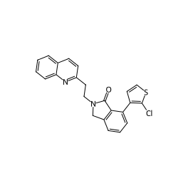 O=C1c2c(cccc2-c2ccsc2Cl)CN1CCc1ccc2ccccc2n1